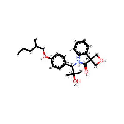 CCCC(C)COc1ccc([C@@H](NC(=O)C2(c3ccccc3)COC2)C(C)(C)O)cc1